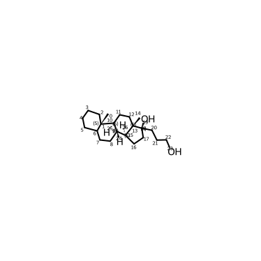 C[C@]12CCCCC1CC[C@@H]1[C@@H]2CC[C@@]2(C)[C@H]1CC[C@@]2(O)CCCO